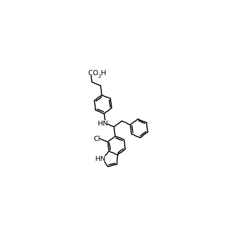 O=C(O)CCc1ccc(NC(Cc2ccccc2)c2ccc3cc[nH]c3c2Cl)cc1